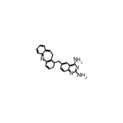 Nc1nc(N)c2cc(CC3CC=CC4=C3CC=c3ccccc3=N4)ccc2n1